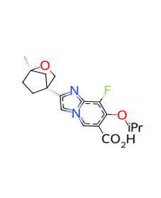 CC(C)Oc1c(C(=O)O)cn2cc([C@]34CC[C@](C)(C3)OC4)nc2c1F